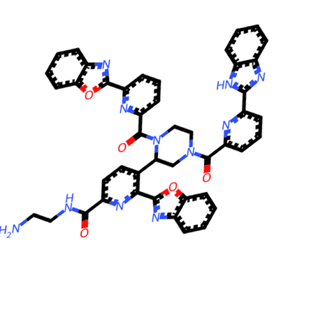 NCCNC(=O)c1ccc(C2CN(C(=O)c3cccc(-c4nc5ccccc5[nH]4)n3)CCN2C(=O)c2cccc(-c3nc4ccccc4o3)n2)c(-c2nc3ccccc3o2)n1